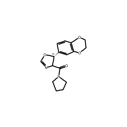 O=C(C1N=CO[C@@H]1c1ccc2c(c1)OCCO2)N1CCCC1